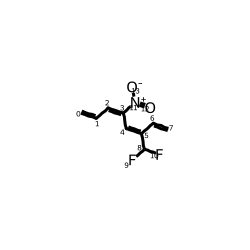 C=C/C=C(\C=C(/C=C)C(F)F)[N+](=O)[O-]